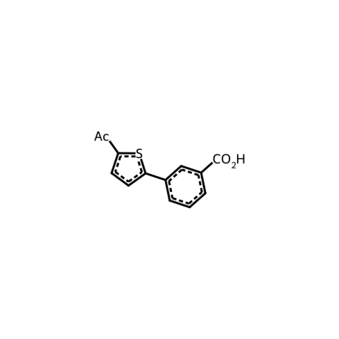 CC(=O)c1ccc(-c2cccc(C(=O)O)c2)s1